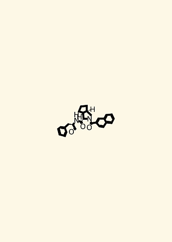 O=C[C@@H](Cc1ccccc1)NC(=O)[C@@H]1[C@H]2CCC[C@H]2CN1C(=O)c1ccc2ccccc2c1